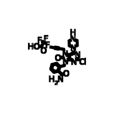 CC#CCn1c(=O)n(Cc2ccccc2C(N)=O)c2nc(Cl)nc(N3CCNCC3)c21.O=C(O)C(F)(F)F